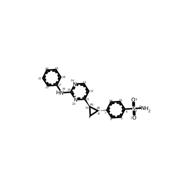 NS(=O)(=O)c1ccc([C@@H]2C[C@H]2c2ccnc(Nc3ccccc3)n2)cc1